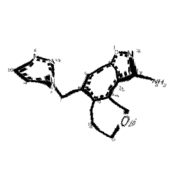 Nc1noc2cc(Cn3ccnn3)c3c(c12)OCC3